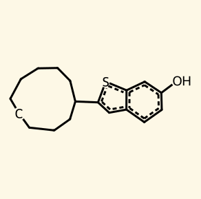 Oc1ccc2cc(C3CCCCCCCCC3)sc2c1